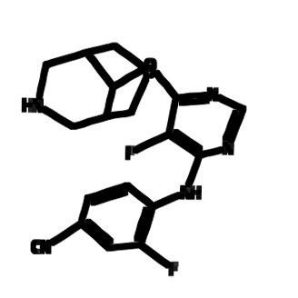 [C-]#[N+]c1ccc(Nc2ncnc(OC3C4CNCC3COC4)c2F)c(F)c1